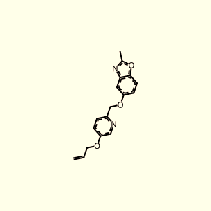 C=CCOc1ccc(COc2ccc3oc(C)nc3c2)nc1